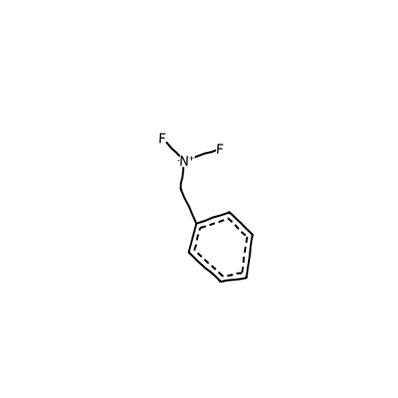 F[N+](F)Cc1ccccc1